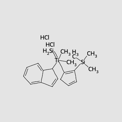 C[Si](C)(C)C1=[C]([Ti]([CH3])([CH3])(=[SiH2])[CH]2C=Cc3ccccc32)CC=C1.Cl.Cl